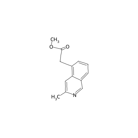 COC(=O)Cc1cccc2cnc(C)cc12